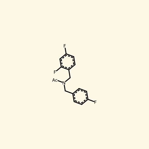 CC(=O)N(Cc1ccc(F)cc1)Cc1ccc(F)cc1F